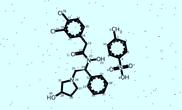 Cc1ccc(S(=O)(=O)O)cc1.O=C(Cc1ccc(Cl)c(Cl)c1)N(O)[C@H](CN1CCC(O)C1)c1ccccc1